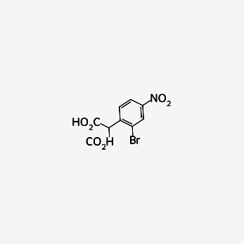 O=C(O)C(C(=O)O)c1ccc([N+](=O)[O-])cc1Br